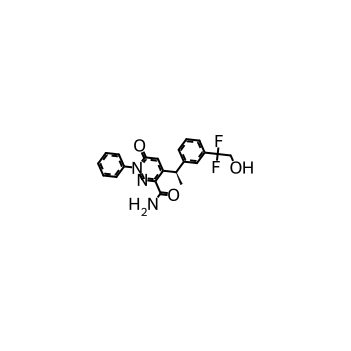 C[C@H](c1cccc(C(F)(F)CO)c1)c1cc(=O)n(-c2ccccc2)nc1C(N)=O